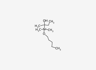 CCCCCO[N+](C)(C)C(C)(O)CC